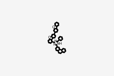 c1ccc(C2=NC(c3cccc4oc5cc(-c6ccc7c(c6)oc6ccccc67)ccc5c34)=NC(c3ccc4ccc5ccccc5c4c3)N2)cc1